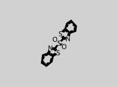 O=S(=O)(c1nc2ccccc2s1)c1nc2ccccc2s1